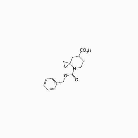 O=C(O)C1CCN(C(=O)OCc2ccccc2)C2(CC2)C1